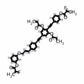 C=CC(=O)Oc1cc(C#Cc2ccc(/C=C/COc3cccc(OC(=O)C(=C)F)c3)cc2)cc(OC(=O)C=C)c1C#Cc1ccc(OC(=O)C(=C)F)cc1